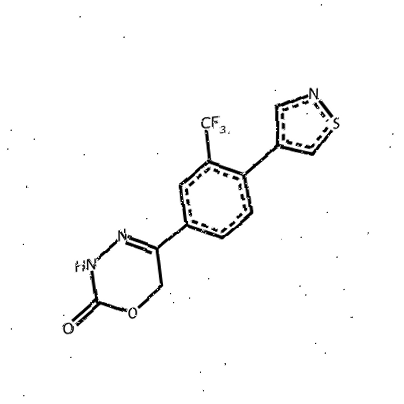 O=C1NN=C(c2ccc(-c3cnsc3)c(C(F)(F)F)c2)CO1